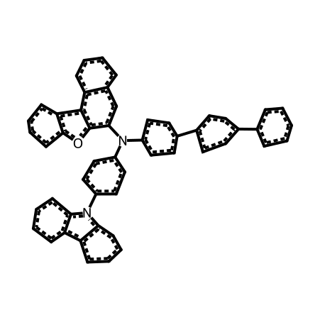 c1ccc(-c2ccc(-c3ccc(N(c4ccc(-n5c6ccccc6c6ccccc65)cc4)c4cc5ccccc5c5c4oc4ccccc45)cc3)cc2)cc1